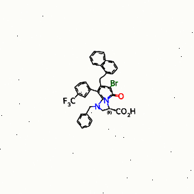 O=C(O)[C@H]1CN(Cc2ccccc2)c2c(-c3cccc(C(F)(F)F)c3)c(Cc3cccc4ccccc34)c(Br)c(=O)n21